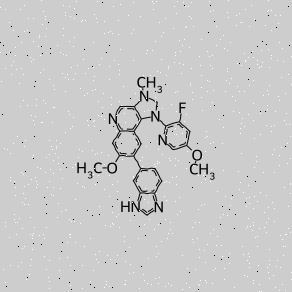 COc1cnc(N2CN(C)c3cnc4cc(OC)c(-c5ccc6nc[nH]c6c5)cc4c32)c(F)c1